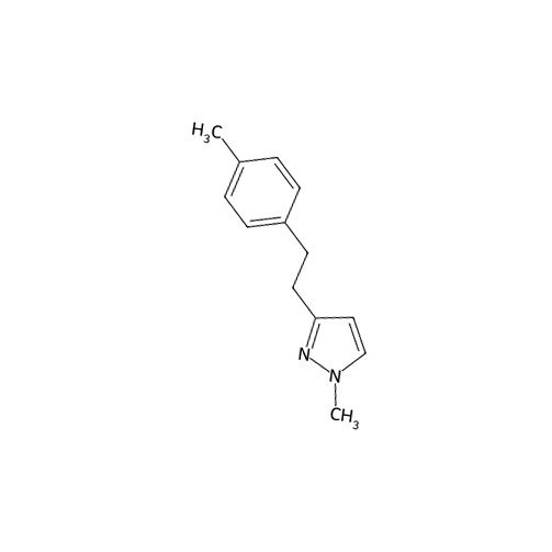 Cc1ccc(CCc2ccn(C)n2)cc1